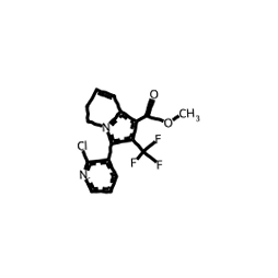 COC(=O)c1c(C(F)(F)F)c(-c2cccnc2Cl)n2c1C=CCC2